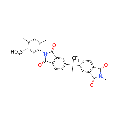 Cc1c(C)c(N2C(=O)c3ccc(C(C)(c4ccc5c(c4)C(=O)N(C)C5=O)C(F)(F)F)cc3C2=O)c(C)c(S(=O)(=O)O)c1C